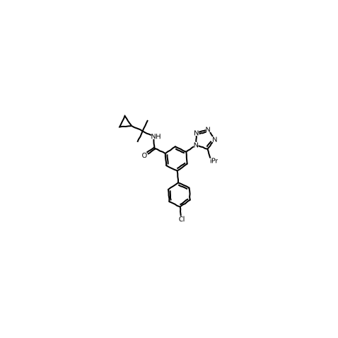 CC(C)c1nnnn1-c1cc(C(=O)NC(C)(C)C2CC2)cc(-c2ccc(Cl)cc2)c1